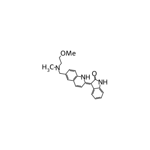 COCCN(C)Cc1ccc2c(c1)C=C/C(=C1/C(=O)Nc3ccccc31)N2